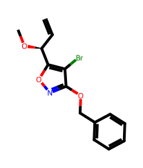 C=C[C@H](OC)c1onc(OCc2ccccc2)c1Br